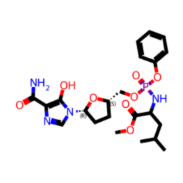 COC(=O)C(CC(C)C)NP(=O)(OC[C@@H]1CC[C@H](n2cnc(C(N)=O)c2O)O1)Oc1ccccc1